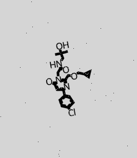 CC(C)(O)CNC(=O)Cn1c(COCC2CC2)nc(-c2ccc(Cl)cc2)cc1=O